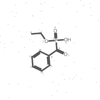 CCOP(=O)(O)C(=O)c1ccccc1